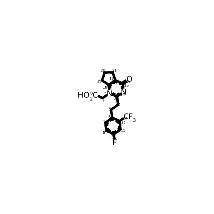 O=C(O)Cn1c(CCc2ccc(F)cc2C(F)(F)F)nc(=O)c2c1CCC2